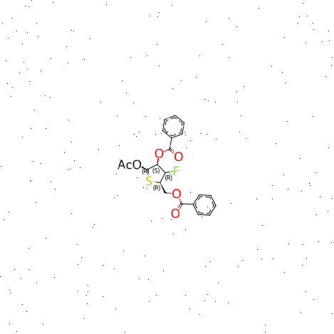 CC(=O)O[C@@H]1S[C@H](COC(=O)c2ccccc2)[C@H](F)[C@@H]1OC(=O)c1ccccc1